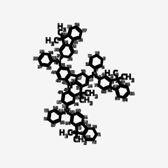 CC1(C)C2=CC(N(C3=CCCC=C3)C3=CC4=C5C(C3)c3cc(N(c6ccccc6)C6C=C7C(=CC6)c6ccccc6C7(C)C)ccc3N5c3ccc(N(c5ccccc5)c5ccc6c(c5)C(C)(C)C5=C6CCC=C5)cc3C4(C)C)CC=C2c2ccccc21